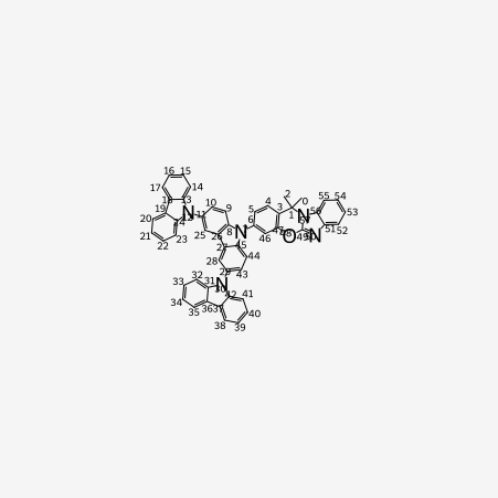 CC1(C)c2ccc(-n3c4ccc(-n5c6ccccc6c6ccccc65)cc4c4cc(-n5c6ccccc6c6ccccc65)ccc43)cc2Oc2nc3ccccc3n21